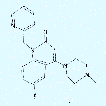 CN1CCN(c2cc(=O)n(Cc3ccccn3)c3ccc(F)cc23)CC1